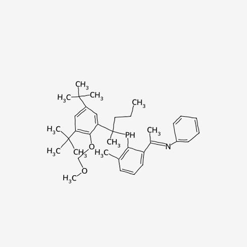 CCCC(C)(Pc1c(C)cccc1/C(C)=N/c1ccccc1)c1cc(C(C)(C)C)cc(C(C)(C)C)c1OCOC